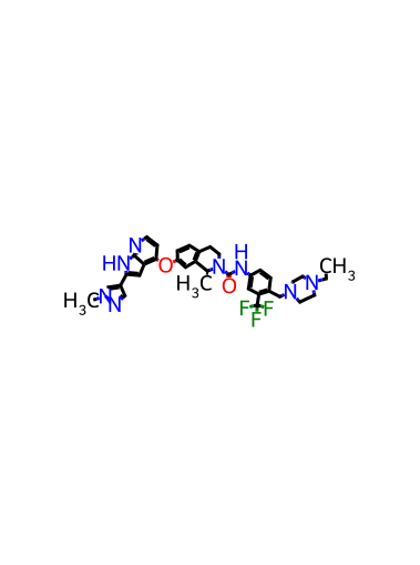 CCN1CCN(Cc2ccc(NC(=O)N3CCc4ccc(Oc5ccnc6[nH]c(-c7cnn(C)c7)cc56)cc4[C@@H]3C)cc2C(F)(F)F)CC1